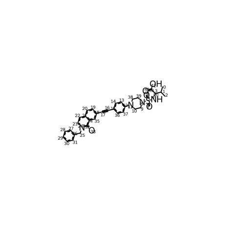 CC(C)[C@@H](NS(=O)(=O)N1CCN(c2ccc(C#Cc3ccc4ccn(Cc5ccccc5)c(=O)c4c3)cc2)CC1)C(=O)O